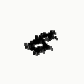 COc1cc(C=CC(=O)OC(Cc2c(C)c3ccc(NC(=O)N(C)C(C)OC(=O)C=Cc4cc(C)c(C)c(C)c4)cc3oc2=O)CN(C)C(C)OC(=O)C=Cc2cc(OC)c(OC)c(OC)c2)cc(OC)c1OC